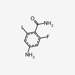 NC(=O)c1c(F)cc(N)cc1I